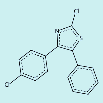 Clc1ccc(-c2nc(Cl)sc2-c2ccccc2)cc1